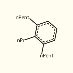 [CH2]CCc1c(CCCCC)cccc1CCCCC